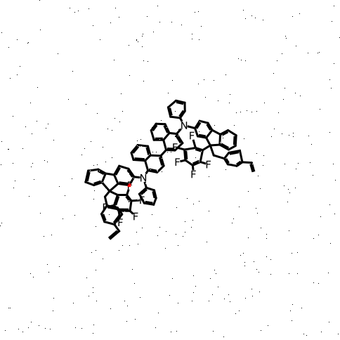 C=Cc1ccc(CC2(c3c(F)c(F)c(F)c(F)c3F)c3ccccc3-c3ccc(N(c4ccccc4)c4ccc(-c5ccc(N(c6ccccc6)c6ccc7c(c6)C(Cc6ccc(C=C)cc6)(c6c(F)c(F)c(F)c(F)c6F)c6ccccc6-7)c6ccccc56)c5ccccc45)cc32)cc1